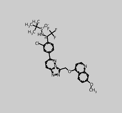 COc1ccc2c(OCc3nnc4ccc(-c5ccc([C@@H](N[S+]([O-])C(C)(C)C)C(F)(F)F)c(Cl)c5)nn34)ccnc2c1